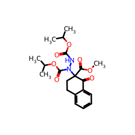 COC(=O)C1(N(NC(=O)OC(C)C)C(=O)OC(C)C)CCc2ccccc2C1=O